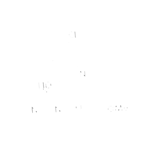 COCC1O/C(=N/c2nccs2)c2c1nc1cc(Cl)ccc1c2O